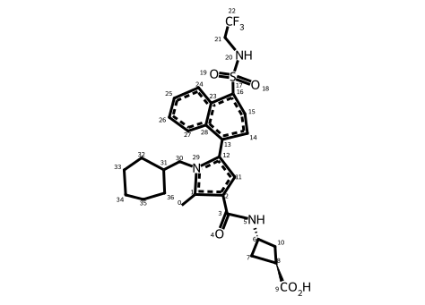 Cc1c(C(=O)N[C@H]2C[C@H](C(=O)O)C2)cc(-c2ccc(S(=O)(=O)NCC(F)(F)F)c3ccccc23)n1CC1CCCCC1